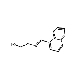 OCCN=Cc1cccc2ccccc12